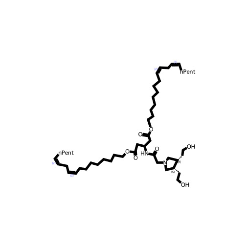 CCCCC/C=C\C/C=C\CCCCCCCCOC(=O)CC(CC(=O)OCCCCCCCC/C=C\C/C=C\CCCCC)NC(=O)CN1C[C@@H](CCO)[C@@H](CCO)C1